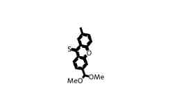 COC(OC)c1ccc2c(=S)c3cc(C)ccc3oc2c1